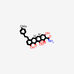 COc1ccc(CCc2ccc(O)c3c2C[C@H]2C[C@H]4CC(O)C(C(N)=O)C(=O)[C@@]4(O)C(O)=C2C3=O)cc1